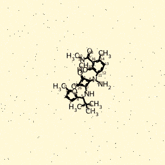 Cc1ccc([C@H](Nc2c(N(N)c3ccc(C)c(C(=O)N(C)C)c3O)c(=O)c2=O)C(C)(C)C)o1